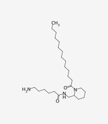 CCCCCCCCCCCCCC(=O)N1CCCCC1CNC(=O)CCCCCN